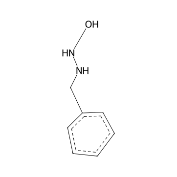 ONNCc1ccccc1